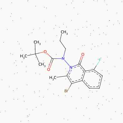 CCCN(C(=O)OC(C)(C)C)n1c(C)c(Br)c2cccc(F)c2c1=O